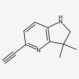 C#Cc1ccc2c(n1)C(C)(C)CN2